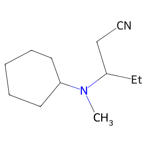 CCC(CC#N)N(C)C1CCCCC1